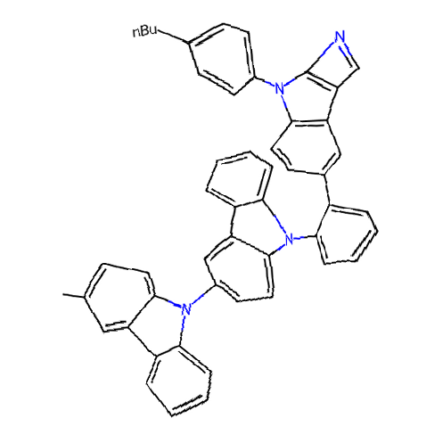 CCCCc1ccc(-n2c3c(c4cc(-c5ccccc5-n5c6ccccc6c6cc(-n7c8ccccc8c8cc(C)ccc87)ccc65)ccc42)C=N3)cc1